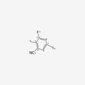 Cc1c(F)cc(I)cc1C#N